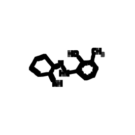 Cc1cccc(N/N=C2/C=CC=CC2=N)c1O